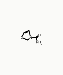 NC(=O)N1C=COC1